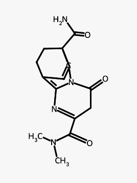 CN(C)C(=O)C1=NC2=C3C=CC(C(N)=O)(CC3)CN2C(=O)C1